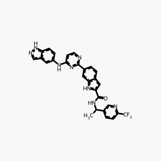 CC(NC(=O)c1cc2ccc(-c3nccc(Nc4ccc5[nH]ncc5c4)n3)cc2[nH]1)c1ccc(C(F)(F)F)nc1